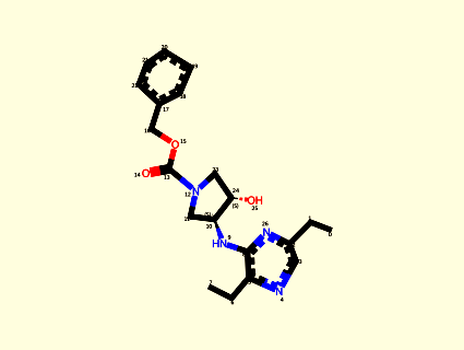 CCc1cnc(CC)c(N[C@H]2CN(C(=O)OCc3ccccc3)C[C@@H]2O)n1